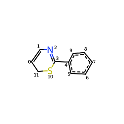 C1=CN=C(c2ccccc2)SC1